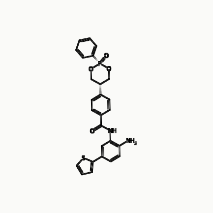 Nc1ccc(-c2cccs2)cc1NC(=O)c1ccc([C@H]2CO[P@@](=O)(c3ccccc3)OC2)cc1